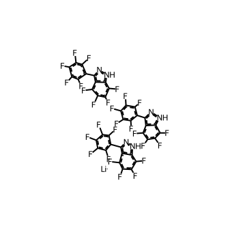 Fc1c(F)c(F)c(-c2n[nH]c3c(F)c(F)c(F)c(F)c23)c(F)c1F.Fc1c(F)c(F)c(-c2n[nH]c3c(F)c(F)c(F)c(F)c23)c(F)c1F.Fc1c(F)c(F)c(-c2n[nH]c3c(F)c(F)c(F)c(F)c23)c(F)c1F.[Li]